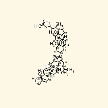 CC(C)CCC[C@@H](C)[C@H]1CC[C@H]2[C@@H]3CC=C4C[C@H](OC(=O)[C@]56CC[C@@H](C(C)C)C5[C@H]5CC[C@@H]7[C@@]8(C)CC[C@@H](O)C(C)(C)C8CC[C@@]7(C)[C@]5(C)CC6)CC[C@]4(C)[C@H]3CC[C@]12C